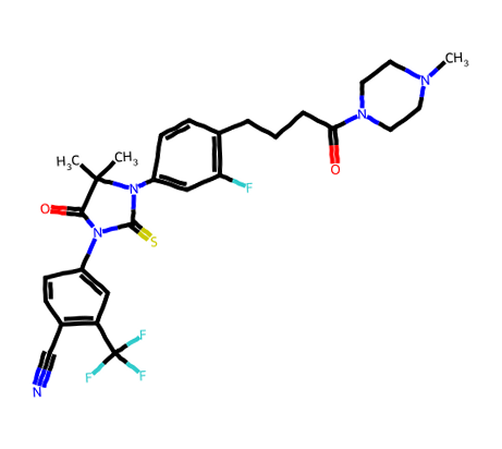 CN1CCN(C(=O)CCCc2ccc(N3C(=S)N(c4ccc(C#N)c(C(F)(F)F)c4)C(=O)C3(C)C)cc2F)CC1